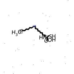 CCCCCCCC/C=C\CCCCCCCCNC(CS)C(=O)O